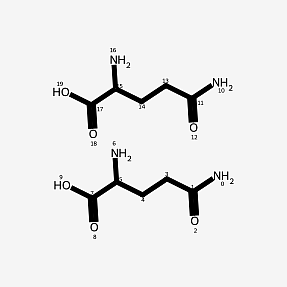 NC(=O)CCC(N)C(=O)O.NC(=O)CCC(N)C(=O)O